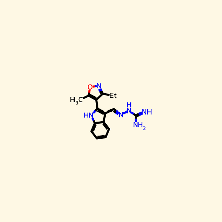 CCc1noc(C)c1-c1[nH]c2ccccc2c1C=NNC(=N)N